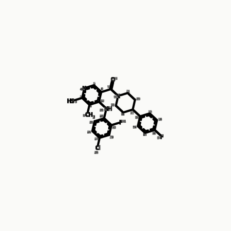 Cc1c(S)ncc(C(=O)N2CCC(c3ccc(F)cc3)CC2)c1Nc1ccc(Cl)cc1F